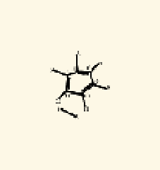 CC.Cc1c(C)c(C)c(C)c(C)c1C